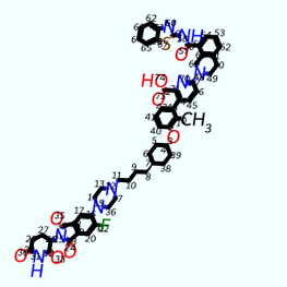 Cc1c(O[C@H]2CC[C@H](CCCCN3CCN(c4cc5c(cc4F)C(=O)N(C4CCC(=O)NC4=O)C5=O)CC3)CC2)cccc1-c1ccc(N2CCc3cccc(C(=O)Nc4nc5ccccc5s4)c3C2)nc1C(=O)O